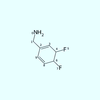 NCC1=CC(F)C(F)C=C1